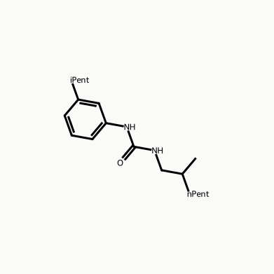 CCCCCC(C)CNC(=O)Nc1cccc(C(C)CCC)c1